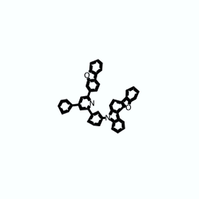 c1ccc(-c2cc(-c3cccc(-n4c5ccccc5c5c6oc7ccccc7c6ccc54)c3)nc(-c3ccc4c(c3)oc3ccccc34)c2)cc1